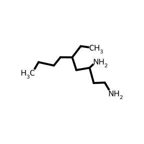 CCCCC(CC)CC(N)CCN